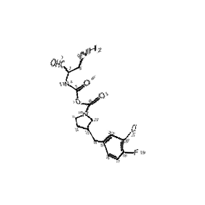 NCC(C=O)NC(=O)OC(=O)N1CCC(Cc2ccc(F)c(Cl)c2)C1